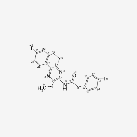 CCc1nc2c(nc1NC(=O)Cc1ccc(I)cc1)CCc1cc(F)ccc1-2